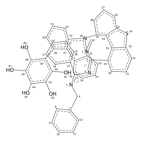 C=N/C(=N\C(=N/Cc1ccccc1)c1ccccc1)c1cccc2sc3cccc(-n4c5ccccc5c5c(-c6c(O)c(O)c(O)c(O)c6O)cccc54)c3c12